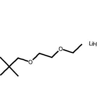 CCOCCOCC(C)(C)C.[LiH]